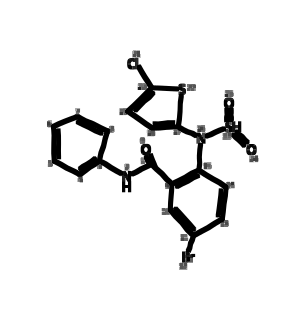 O=C(Nc1ccccc1)c1cc(Br)ccc1N(c1ccc(Cl)s1)[SH](=O)=O